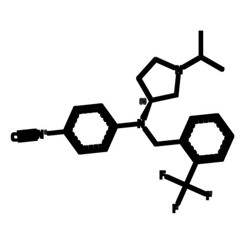 [C-]#[N+]c1ccc(N(Cc2ccccc2C(F)(F)F)[C@H]2CCN(C(C)C)C2)cc1